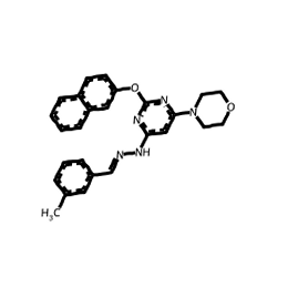 Cc1cccc(C=NNc2cc(N3CCOCC3)nc(Oc3ccc4ccccc4c3)n2)c1